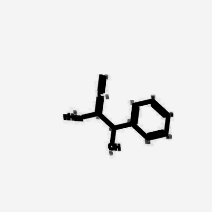 C=C=C(CCCCCC)C(O)c1ccccc1